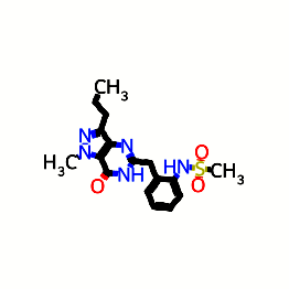 CCCc1nn(C)c2c(=O)[nH]c(Cc3ccccc3NS(C)(=O)=O)nc12